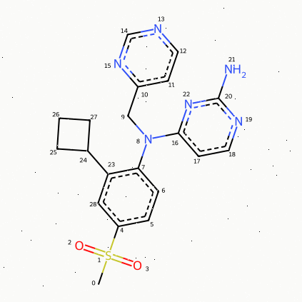 CS(=O)(=O)c1ccc(N(Cc2ccncn2)c2ccnc(N)n2)c(C2CCC2)c1